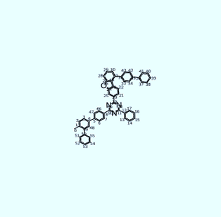 Cc1ccc(-c2ccc(-c3nc(-c4ccccc4)nc(-c4ccc5c(c4)oc4cccc(-c6ccc(-c7ccccc7)cc6)c45)n3)cc2)cc1-c1ccccc1